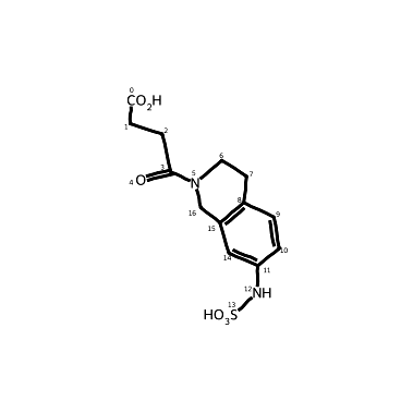 O=C(O)CCC(=O)N1CCc2ccc(NS(=O)(=O)O)cc2C1